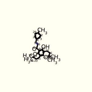 Cc1ccc(/C=C/C(=O)c2c(O)c3c(c4c2OC(C)(C)CC4)OC(C)(C)CC3)cc1